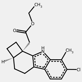 CCOC(=O)C[C@@]12CC[C@@H]1CCc1c2[nH]c2c(C)c(Cl)ccc12